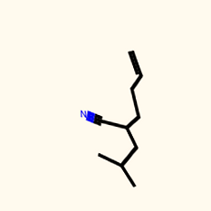 C=CCCC(C#N)CC(C)C